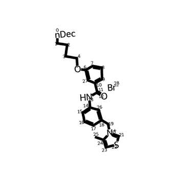 CCCCCCCCCCCCCCOc1cccc(C(=O)Nc2cccc(C[n+]3cscc3C)c2)c1.[Br-]